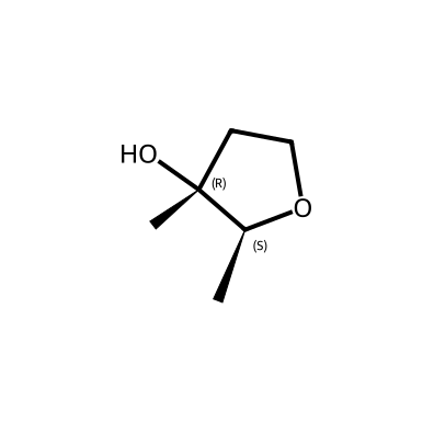 C[C@@H]1OCC[C@@]1(C)O